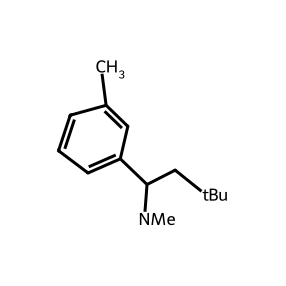 CNC(CC(C)(C)C)c1cccc(C)c1